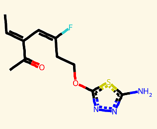 C/C=C(\C=C(\F)CCOc1nnc(N)s1)C(C)=O